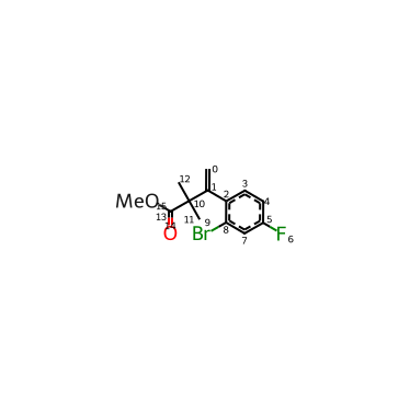 C=C(c1ccc(F)cc1Br)C(C)(C)C(=O)OC